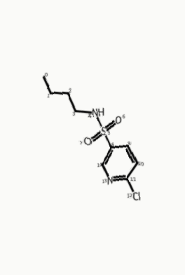 CCCCNS(=O)(=O)c1ccc(Cl)nc1